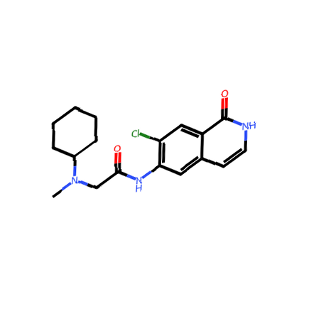 CN(CC(=O)Nc1cc2cc[nH]c(=O)c2cc1Cl)C1CCCCC1